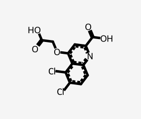 O=C(O)COc1cc(C(=O)O)nc2ccc(Cl)c(Cl)c12